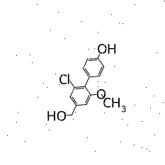 COc1cc(CO)cc(Cl)c1-c1ccc(O)cc1